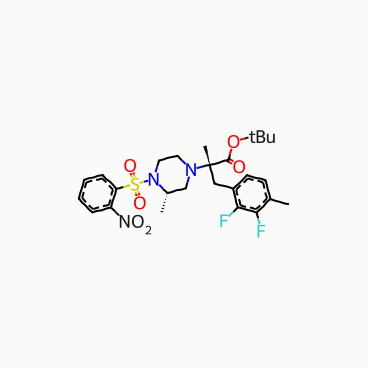 Cc1ccc(C[C@@](C)(C(=O)OC(C)(C)C)N2CCN(S(=O)(=O)c3ccccc3[N+](=O)[O-])[C@@H](C)C2)c(F)c1F